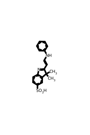 CC1(C)C(/C=C/Nc2ccccc2)=Nc2ccc(S(=O)(=O)O)cc21